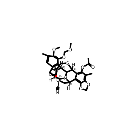 COCOc1c(OC)c(C)cc2c1[C@@H]1C3[C@@H]4SCC(C)C(=O)OC[C@@H](c5c6c(c(C)c(OC(C)=O)c54)OCO6)N3[C@@H](C#N)[C@H](C2)N1C